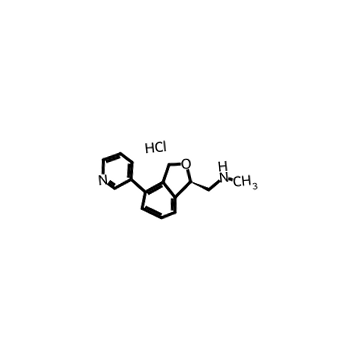 CNC[C@@H]1OCc2c(-c3cccnc3)cccc21.Cl